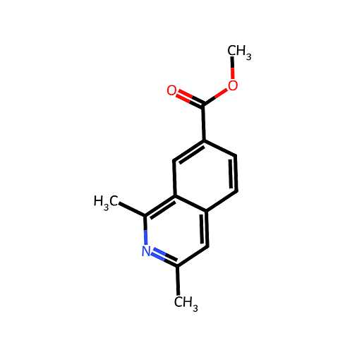 COC(=O)c1ccc2cc(C)nc(C)c2c1